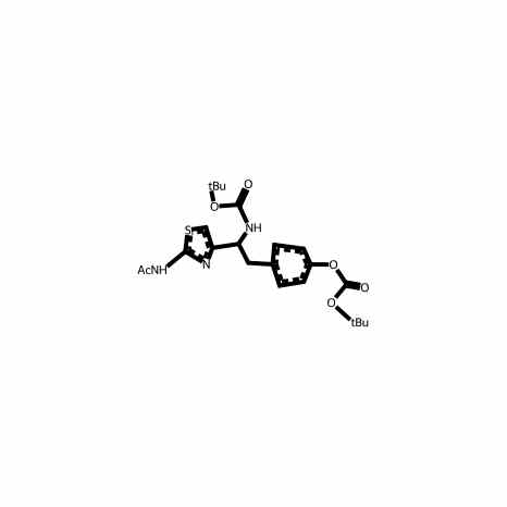 CC(=O)Nc1nc(C(Cc2ccc(OC(=O)OC(C)(C)C)cc2)NC(=O)OC(C)(C)C)cs1